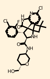 CC1(C)CC2(C1)N[C@@H](C(=O)N[C@@H]1CC[C@@H](CO)OC1)[C@H](c1cccc(Cl)c1F)[C@]21C(=O)Nc2nc(Cl)ccc21